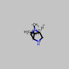 C[C@@H]1C2CN(C)[C@H]1CN2